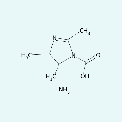 CC1=NC(C)C(C)N1C(=O)O.N